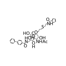 CC(=O)N[C@H]1[C@H]([C@H](O)[C@H](O)CNC(=O)c2ccc(-c3ccccc3)cc2)O[C@@](OCCCSCCNC(=O)C2=CC=CC2)(C(=O)O)C[C@@H]1O